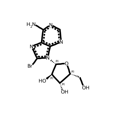 Nc1ncnc2c1nc(Br)n2[C@@H]1O[C@H](CO)[C@H](O)[C@H]1O